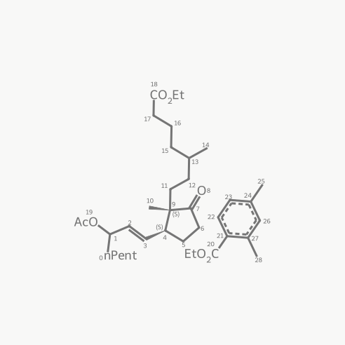 CCCCCC(C=C[C@@H]1CCC(=O)[C@@]1(C)CCC(C)CCCC(=O)OCC)OC(C)=O.CCOC(=O)c1ccc(C)cc1C